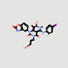 Cc1c(=O)n(C)c(Nc2ccc(I)cc2F)c2c(=O)n(CCCO)c(=O)n(-c3ccc4oc(=O)[nH]c4c3)c12